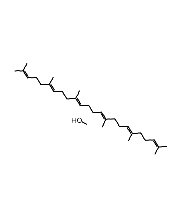 CC(C)=CCC/C(C)=C/CC/C(C)=C/CC/C=C(\C)CC/C=C(\C)CCC=C(C)C.CO